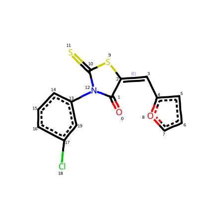 O=C1/C(=C\c2ccco2)SC(=S)N1c1cccc(Cl)c1